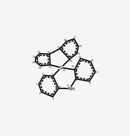 c1ccc2c(c1)Nc1ccccc1S21c2ccccc2-c2ccccc21